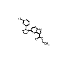 CCOC(=O)c1cnn2ccc(N3CCCC3c3cccc(Cl)c3)nc12